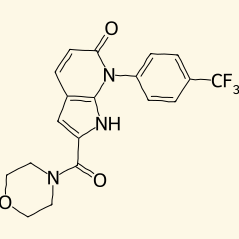 O=C(c1cc2ccc(=O)n(-c3ccc(C(F)(F)F)cc3)c2[nH]1)N1CCOCC1